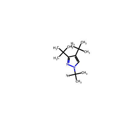 [3H]C(C)(C)n1cc(C(C)(C)C)c(C(C)(C)C)n1